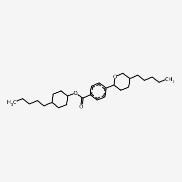 CCCCCC1CCC(OC(=O)c2ccc(C3CCC(CCCCC)CO3)cc2)CC1